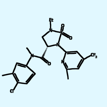 CCN1C[C@@H](C(=O)N(C)c2ccc(Cl)c(C)c2)N(c2cc(C(F)(F)F)cc(C)n2)S1(=O)=O